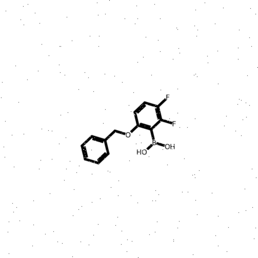 OB(O)c1c(OCc2ccccc2)ccc(F)c1F